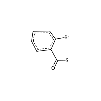 O=C([S])c1ccccc1Br